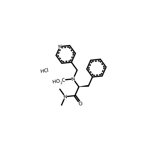 CN(C)C(=O)[C@H](Cc1ccccc1)N(Cc1ccncc1)C(=O)O.Cl